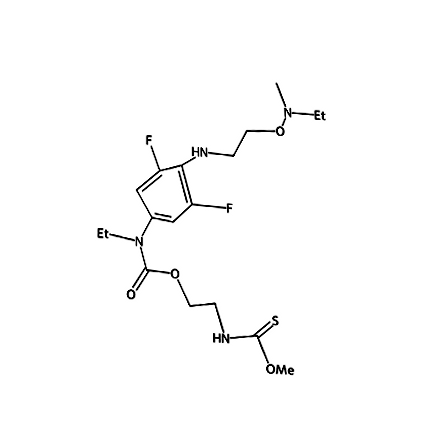 CCN(C)OCCNc1c(F)cc(N(CC)C(=O)OCCNC(=S)OC)cc1F